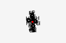 COC(=O)C1(Oc2ccc(NC(=O)C(C3CCCCC3)C3(c4ccc(Cl)cc4)Nc4cc(F)c(F)cc4N3)c(F)c2)CC1